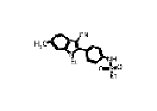 CCn1c(-c2ccc(NS(=O)(=O)CC)cc2)c(C#N)c2ccc(C)cc21